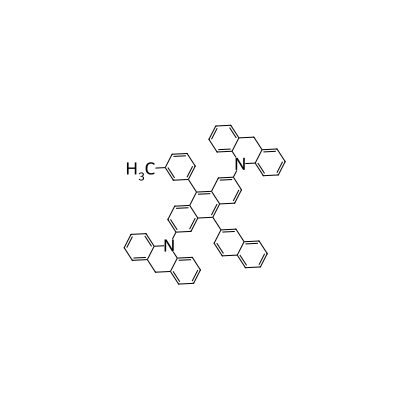 Cc1cccc(-c2c3ccc(N4c5ccccc5Cc5ccccc54)cc3c(-c3ccc4ccccc4c3)c3ccc(N4c5ccccc5Cc5ccccc54)cc23)c1